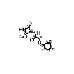 CO[C@H]1NC(=O)[C@H]1NC(=O)COc1ccccc1